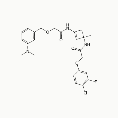 CN(C)c1cccc(COCC(=O)NC2=CC(C)(NC(=O)COc3ccc(Cl)c(F)c3)C2)c1